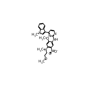 COCCN(C)c1cc(OC)c(Nc2nccc(-c3cn(C)c4ccccc34)n2)cc1[N+](=O)[O-]